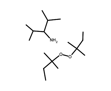 CC(C)C(N)C(C)C.CCC(C)(C)OOC(C)(C)CC